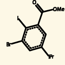 COC(=O)c1cc(C(C)C)cc(Br)c1I